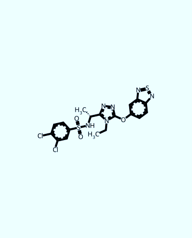 CCn1c(Oc2ccc3c(c2)N=S=N3)nnc1[C@@H](C)NS(=O)(=O)c1ccc(Cl)c(Cl)c1